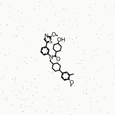 COc1ncc(-c2cccc(N(CC3CCC(c4ccc(OC)c(C)c4)CC3)C(=O)C3CCC(O)CC3)c2)s1